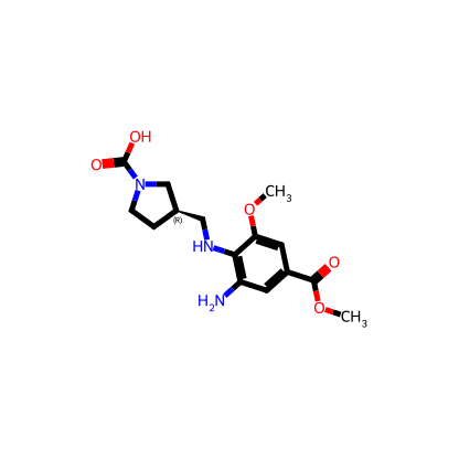 COC(=O)c1cc(N)c(NC[C@H]2CCN(C(=O)O)C2)c(OC)c1